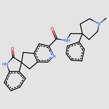 CN1CCC(CNC(=O)c2cc3c(cn2)CC2(C3)C(=O)Nc3ccccc32)(c2ccccc2)CC1